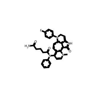 CN1C=CC(N(C(=O)CCCC(N)=O)c2ccccc2)=c2ccc3c4c([nH]c(=O)c-4c21)=CCN3c1ccc(F)cc1